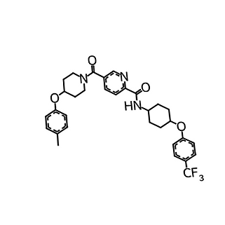 Cc1ccc(OC2CCN(C(=O)c3ccc(C(=O)NC4CCC(Oc5ccc(C(F)(F)F)cc5)CC4)nc3)CC2)cc1